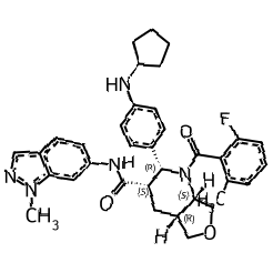 Cc1cccc(F)c1C(=O)N1[C@@H]2COC[C@@H]2C[C@H](C(=O)Nc2ccc3cnn(C)c3c2)[C@@H]1c1ccc(NC2CCCC2)cc1